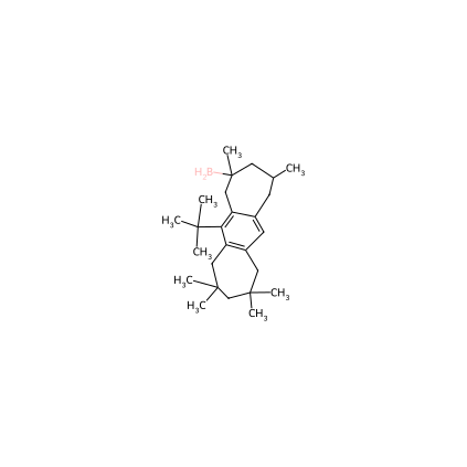 BC1(C)Cc2c(cc3c(c2C(C)(C)C)CC(C)(C)CC(C)(C)C3)CC(C)C1